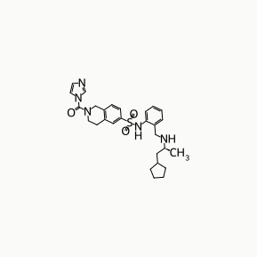 C[C@@H](CC1CCCC1)NCc1ccccc1NS(=O)(=O)c1ccc2c(c1)CCN(C(=O)n1ccnc1)C2